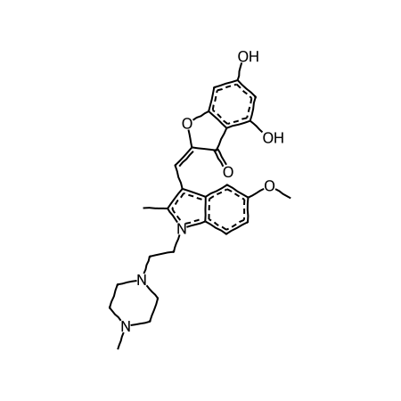 COc1ccc2c(c1)c(C=C1Oc3cc(O)cc(O)c3C1=O)c(C)n2CCN1CCN(C)CC1